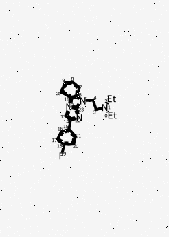 CCN(CC)CCn1c2ccccc2n2cc(-c3ccc(F)cc3)nc12